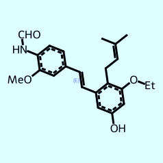 CCOc1cc(O)cc(/C=C/c2ccc(NC=O)c(OC)c2)c1CC=C(C)C